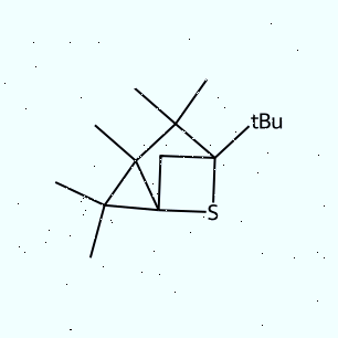 CC(C)(C)C12CC3(S1)C(C)(C)C3(C)C2(C)C